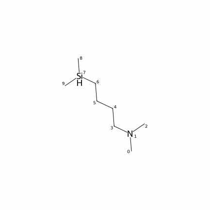 CN(C)CCCC[SiH](C)C